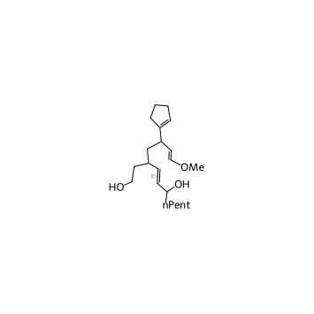 CCCCCC(O)/C=C/C(CCO)CC(C=COC)C1=CCCC1